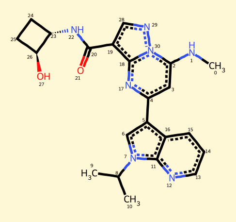 CNc1cc(-c2cn(C(C)C)c3ncccc23)nc2c(C(=O)N[C@H]3CC[C@@H]3O)cnn12